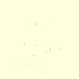 CO[C@H]1C[C@@]23OCO[C@@]24C[C@@H]1CC4[C@]1(C)CCCC(OC(=O)c2ccccc2O)C1C[C@H]3C